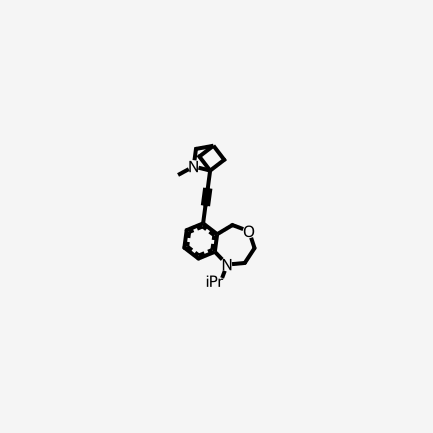 CC(C)N1CCOCc2c(C#CC34CC(CN3C)C4)cccc21